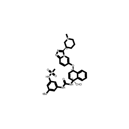 CN1CCC[C@@H](c2nnc3ccc(O[C@@H]4C=C[C@](C=O)(NC(=O)Nc5cc(NS(C)(=O)=O)cc(C(C)(C)C)c5)c5ccccc54)cn23)C1